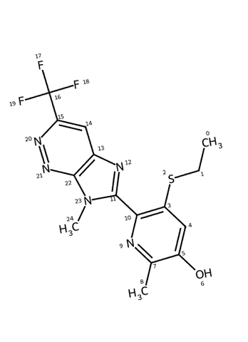 CCSc1cc(O)c(C)nc1-c1nc2cc(C(F)(F)F)nnc2n1C